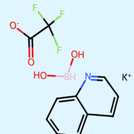 O=C([O-])C(F)(F)F.OBO.[K+].c1ccc2ncccc2c1